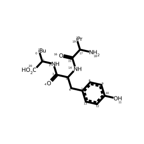 CCC(C)C(NC(=O)C(Cc1ccc(O)cc1)NC(=O)C(N)C(C)C)C(=O)O